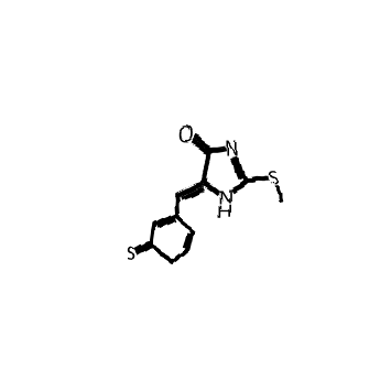 CSC1=NC(=O)C(=CC2=CC(=S)CC=C2)N1